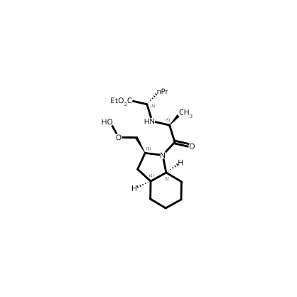 CCC[C@H](N[C@@H](C)C(=O)N1[C@H](COO)C[C@@H]2CCCC[C@@H]21)C(=O)OCC